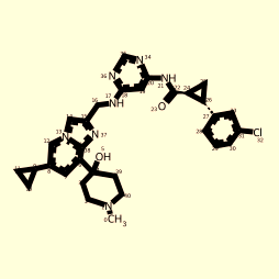 CN1CCC(O)(c2cc(C3CC3)cn3cc(CNc4cc(NC(=O)[C@H]5C[C@@H]5c5cccc(Cl)c5)ncn4)nc23)CC1